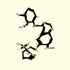 COc1cc2ncnc(Nc3cccc(Cl)c3F)c2cc1OC[C@]1(S(C)(=O)=O)CCCN1